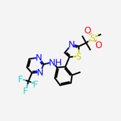 Cc1cccc(Nc2nccc(C(F)(F)F)n2)c1-c1cnc(C(C)(C)S(C)(=O)=O)s1